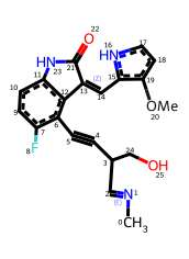 C/N=C/C(C#Cc1c(F)ccc2c1/C(=C/c1[nH]ccc1OC)C(=O)N2)CO